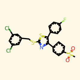 CS(=O)(=O)c1ccc(-c2nc(SCc3cc(Cl)cc(Cl)c3)sc2-c2ccc(F)cc2)cc1